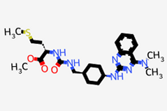 COC(=O)[C@H](CCSC)NC(=O)NC[C@H]1CC[C@@H](Nc2nc(N(C)C)c3ccccc3n2)CC1